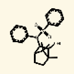 CC1(C)C2CCC1(C)C(O)C2N(c1ccccc1)S(=O)(=O)c1ccccc1